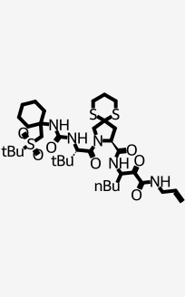 C=CCNC(=O)C(=O)C(CCCC)NC(=O)[C@@H]1CC2(CN1C(=O)[C@@H](NC(=O)NC1(CS(=O)(=O)C(C)(C)C)CCCCC1)C(C)(C)C)SCCCS2